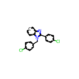 Clc1ccc(Cn2c(-c3ccc(Cl)cc3)nc3ccccc32)cc1